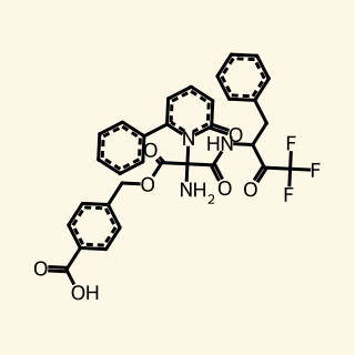 NC(C(=O)NC(Cc1ccccc1)C(=O)C(F)(F)F)(C(=O)OCc1ccc(C(=O)O)cc1)n1c(-c2ccccc2)cccc1=O